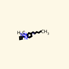 CCCC/C=C/c1ccc2nc(C3(N)CCC3)n(C)c2c1